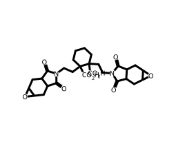 O=C1C2CC3OC3CC2C(=O)N1CCC1(C(=O)O)CCCCC1(CCN1C(=O)C2CC3OC3CC2C1=O)C(=O)O